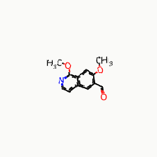 COc1cc2c(OC)nccc2cc1C=O